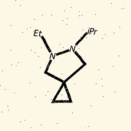 CCN1CC2(CC2)CN1C(C)C